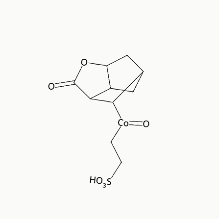 O=C1OC2CC3CC2C1[CH]3[Co](=[O])[CH2]CS(=O)(=O)O